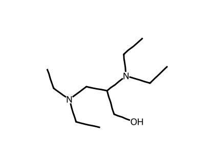 CCN(CC)CC(CO)N(CC)CC